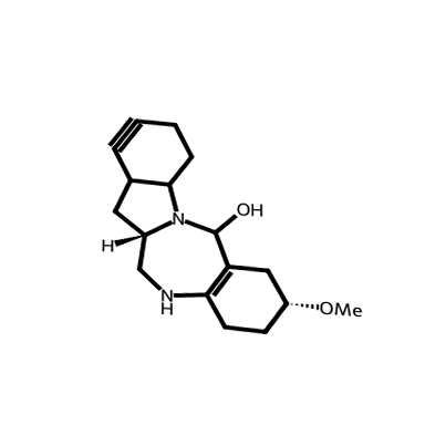 CO[C@@H]1CCC2=C(C1)C(O)N1C3CCC#CC3C[C@H]1CN2